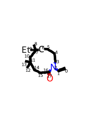 C=CN1CCCCC(C)(CC)CC(C)(C)CCC1=O